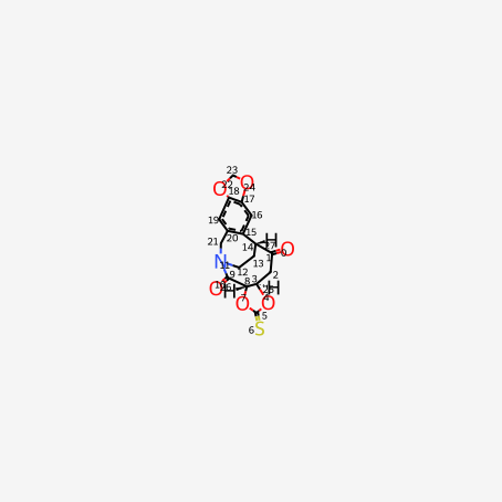 O=C1C[C@H]2OC(=S)O[C@@H]2C(=O)N2CC[C@@H]1c1cc3c(cc1C2)OCO3